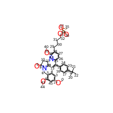 COc1ccc(CN2C(=O)CC[C@@H]2C=C(c2ccc(C(C)(C)C)cc2)c2ccc(CCCCOS(C)(=O)=O)c(OC)n2)c(OC)c1